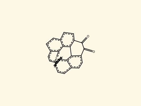 O=C1C(=O)c2ccc3ccc4ccccc4c3c2-c2c1ccc1ccc3ccccc3c21